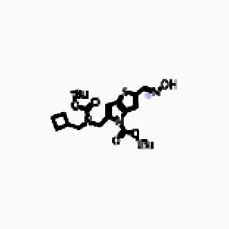 CC(C)(C)OC(=O)N(Cc1cc2sc(/C=N/O)cc2n1C(=O)OC(C)(C)C)CC1CCC1